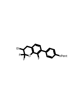 CCCCCc1ccc(-c2ccc3c(c2F)OC(F)(F)C(CC)C3)cc1